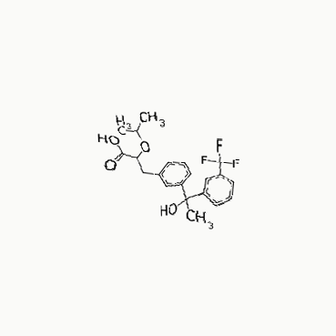 CC(C)OC(Cc1cccc(C(C)(O)c2cccc(C(F)(F)F)c2)c1)C(=O)O